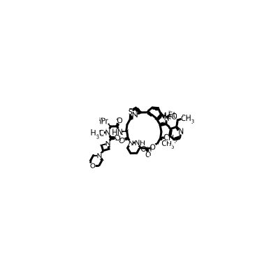 CCn1c(-c2cccnc2[C@H](C)OC)c2c3cc(ccc31)-c1csc(n1)C[C@H](NC(=O)[C@H](C(C)C)N(C)C(=O)N1CC(N3CCOCC3)C1)C(=O)N1CCC[C@@](O)(N1)C(=O)OCC(C)(C)C2